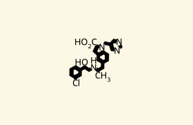 CC(Cc1ccc2c(c1)cc(C(=O)O)n2Cc1cncnc1)NCC(O)c1cccc(Cl)c1